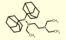 CCN(CC)CCN(CC)P(C12CC3CC(CC(C3)C1)C2)C12CC3CC(CC(C3)C1)C2